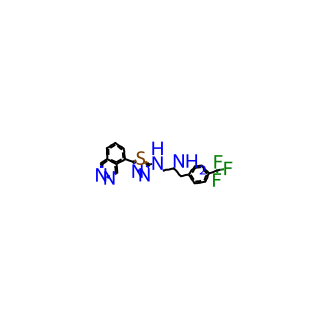 N[C@@H](CNc1nnc(-c2cccc3cnncc23)s1)Cc1ccc(C(F)(F)F)cc1